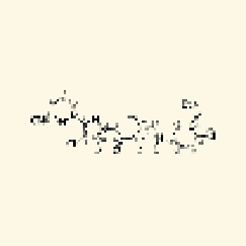 [C-]#[N+]c1cccc(-c2nn(CC(=O)N3CCN(c4ccc(Cl)c(OCC)c4)C[C@@H]3C)c(C)c2Cl)n1